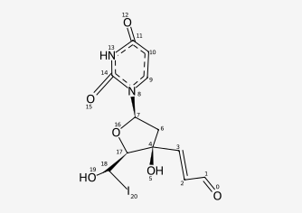 O=CC=C[C@@]1(O)C[C@H](n2ccc(=O)[nH]c2=O)O[C@@H]1C(O)I